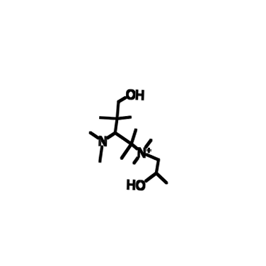 CC(O)C[N+](C)(C)C(C)(C)C(N(C)C)C(C)(C)CO